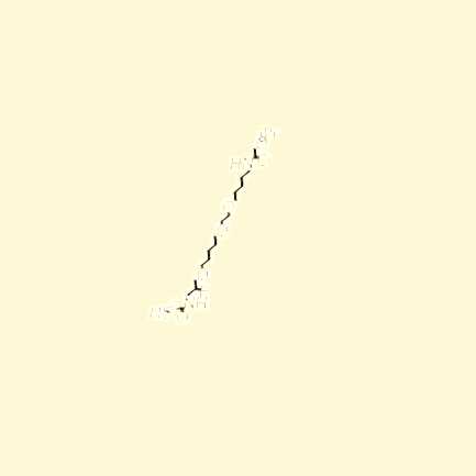 CC(C)OCC(=O)NCCCCCOCCOCCCCCOCC(F)CNC(=O)SS